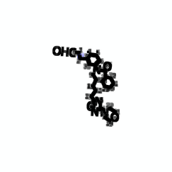 O=C/C=C/c1cccc(N(CCCCCc2nc(N3CCOCC3)no2)C(=O)C2CCCCC2)c1